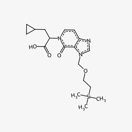 C[Si](C)(C)CCOCn1cnc2ccn(C(CC3CC3)C(=O)O)c(=O)c21